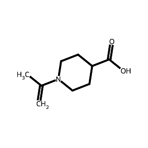 C=C(C)N1CCC(C(=O)O)CC1